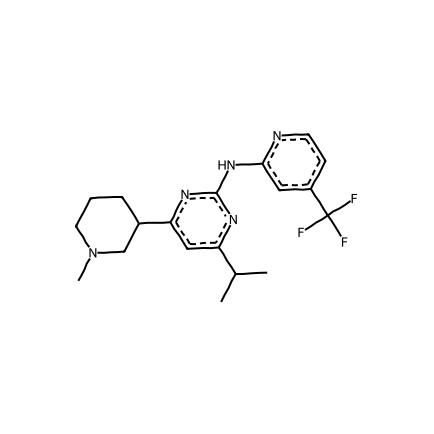 CC(C)c1cc(C2CCCN(C)C2)nc(Nc2cc(C(F)(F)F)ccn2)n1